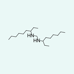 CCCCCCC(CC)NCNC(CC)CCCCCC